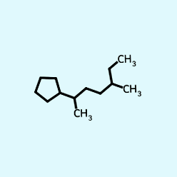 CCC(C)CCC(C)C1CCCC1